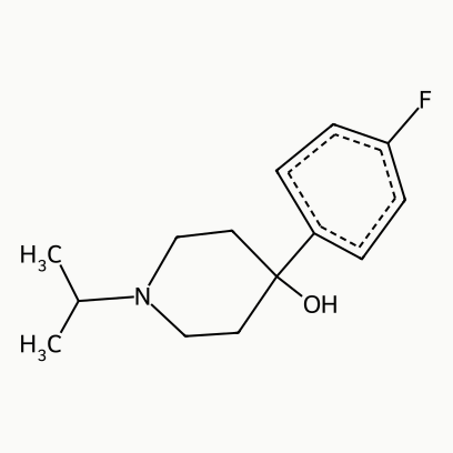 CC(C)N1CCC(O)(c2ccc(F)cc2)CC1